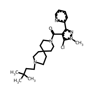 Cn1nc(-c2ccccn2)c(C(=O)N2CCC3(CCN(CCC(C)(C)C)CC3)CC2)c1Cl